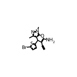 C#CC1=C(N)Oc2c(c(C)nn2C)C1c1ccc(Br)s1